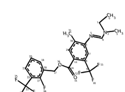 CCN(C)/C=N/c1cc(C(F)(F)F)c(C(=O)OCc2cccc(C(F)(F)F)c2F)cc1C